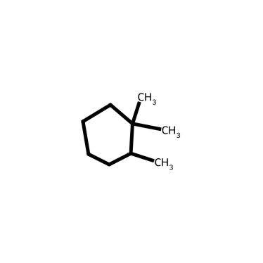 C[C]1CCCCC1(C)C